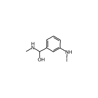 CNC(O)c1cccc(NI)c1